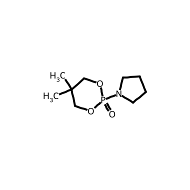 CC1(C)COP(=O)(N2CCCC2)OC1